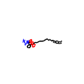 CCCCCCCCC=CCCCCCCCC(=O)Oc1ccccc1C(N)=O